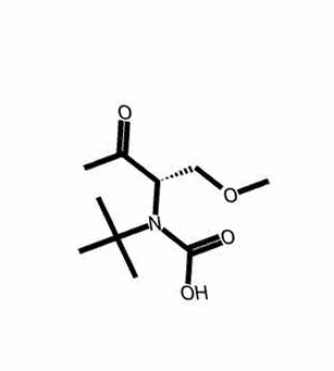 COC[C@@H](C(C)=O)N(C(=O)O)C(C)(C)C